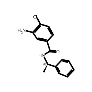 C[C@@H](NC(=O)c1ccc(Cl)c(N)c1)c1ccccc1